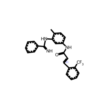 Cc1ccc(NC(=O)/C=C/c2ccccc2C(F)(F)F)cc1NC(=N)c1ccccc1